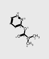 CN(C)C(=O)Oc1cccnn1